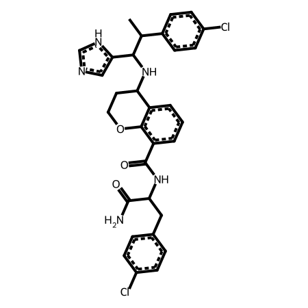 CC(c1ccc(Cl)cc1)C(NC1CCOc2c(C(=O)NC(Cc3ccc(Cl)cc3)C(N)=O)cccc21)c1cnc[nH]1